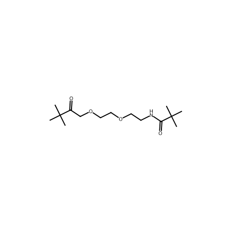 CC(C)(C)C(=O)COCCOCCNC(=O)C(C)(C)C